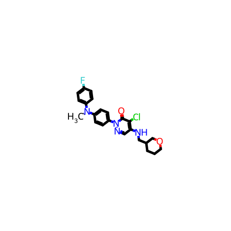 CN(c1ccc(F)cc1)c1ccc(-n2ncc(NCC3CCCOC3)c(Cl)c2=O)cc1